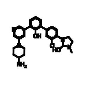 CN1CCN(c2ccc(-c3cccc(-c4cncc(N5CCC(N)CC5)c4)c3O)cc2Cl)C1O